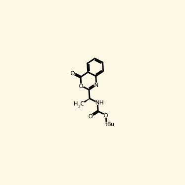 C[C@H](NC(=O)OC(C)(C)C)c1nc2ccccc2c(=O)o1